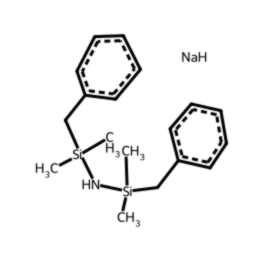 C[Si](C)(Cc1ccccc1)N[Si](C)(C)Cc1ccccc1.[NaH]